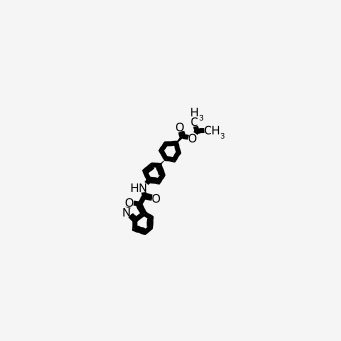 CC(C)OC(=O)[C@H]1CC[C@H](c2ccc(NC(=O)c3onc4ccccc34)cc2)CC1